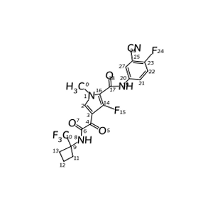 Cn1cc(C(=O)C(=O)NC2(C(F)(F)F)CCC2)c(F)c1C(=O)Nc1ccc(F)c(C#N)c1